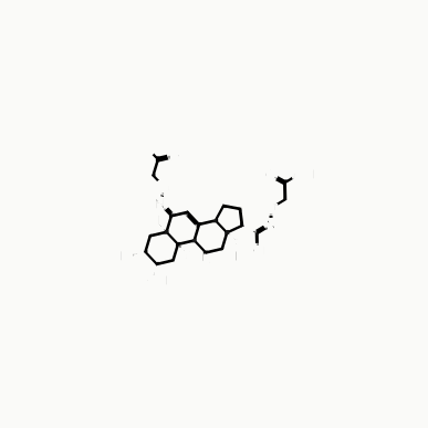 C/C(=N/OCC(=O)O)[C@H]1CCC2C3=C/C(=N\OCC(=O)O)[C@@H]4C[C@@H](O)[C@@H](O)C[C@]4(C)C3CC[C@@]21C